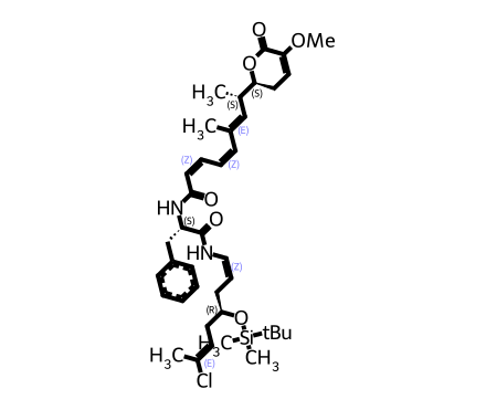 COC1=CC[C@@H]([C@@H](C)/C=C(C)/C=C\C=C/C(=O)N[C@@H](Cc2ccccc2)C(=O)N/C=C\C[C@H](C/C=C(\C)Cl)O[Si](C)(C)C(C)(C)C)OC1=O